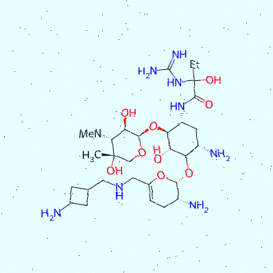 CCC(O)(NC(=N)N)C(=O)N[C@@H]1C[C@H](N)C(O[C@H]2OC(CNCC3CC(N)C3)=CC[C@H]2N)[C@H](O)[C@H]1O[C@H]1OC[C@](C)(O)[C@H](NC)[C@H]1O